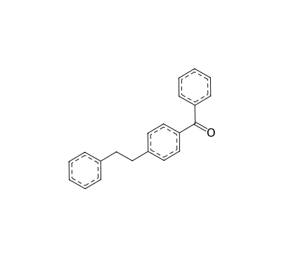 O=C(c1ccccc1)c1ccc(CCc2ccccc2)cc1